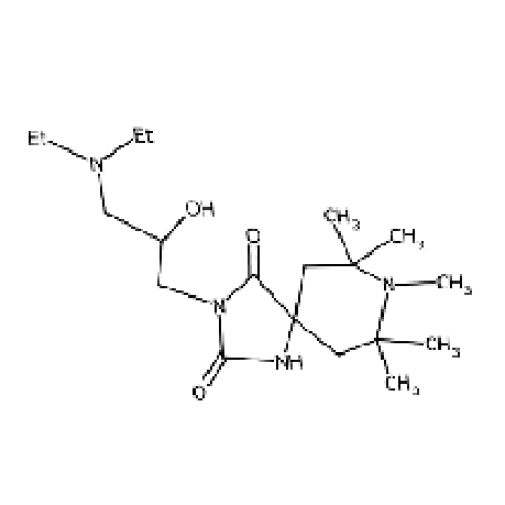 CCN(CC)CC(O)CN1C(=O)NC2(CC(C)(C)N(C)C(C)(C)C2)C1=O